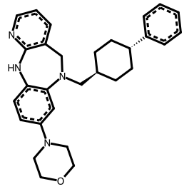 c1ccc([C@H]2CC[C@H](CN3Cc4cccnc4Nc4ccc(N5CCOCC5)cc43)CC2)cc1